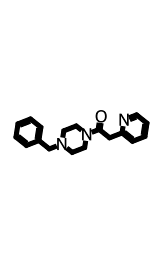 O=C(Cc1ccccn1)N1CCN(Cc2ccccc2)CC1